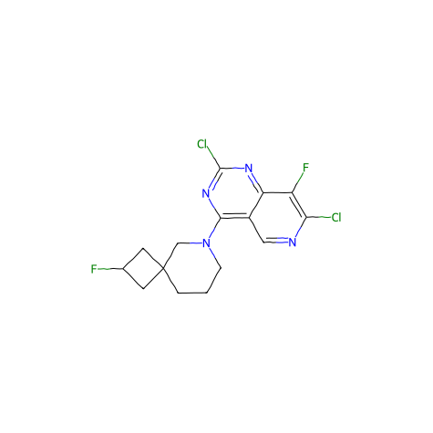 Fc1c(Cl)ncc2c(N3CCCC4(CC(F)C4)C3)nc(Cl)nc12